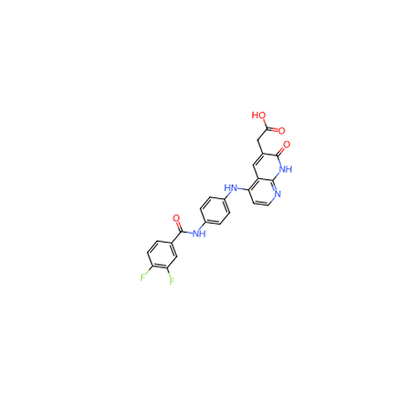 O=C(O)Cc1cc2c(Nc3ccc(NC(=O)c4ccc(F)c(F)c4)cc3)ccnc2[nH]c1=O